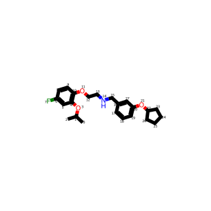 CC(C)Oc1cc(F)ccc1OCCNCc1cccc(OC2CCCC2)c1